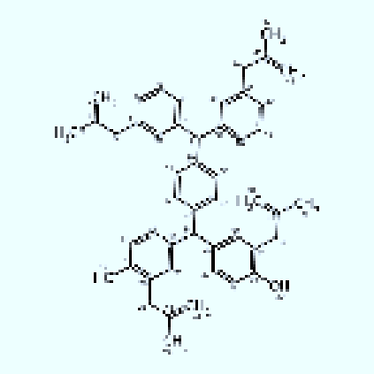 C=C(C)Cc1cccc(C(c2ccc(C(c3ccc(O)c(CC(=C)C)c3)c3ccc(O)c(CC(=C)C)c3)cc2)c2cccc(CC(=C)C)c2)c1